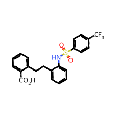 O=C(O)c1ccccc1CCc1ccccc1NS(=O)(=O)c1ccc(C(F)(F)F)cc1